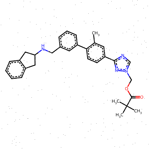 Cc1cc(-c2ncn(COC(=O)C(C)(C)C)n2)ccc1-c1cccc(CNC2Cc3ccccc3C2)c1